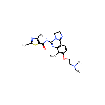 COc1c(OCCN(C)C)ccc2c1N=C(NC(=O)c1sc(C)nc1C)N1CCN=C21